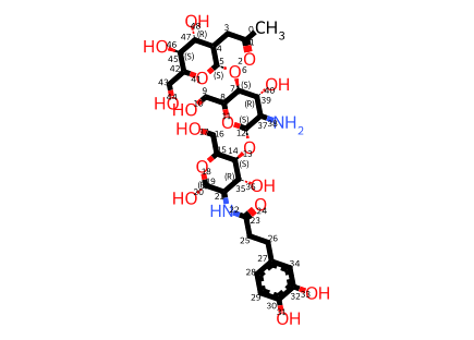 CC(=O)CC1[C@H](O[C@@H]2C(CO)O[C@@H](O[C@@H]3C(CO)O[C@@H](O)C(NC(=O)CCc4ccc(O)c(O)c4)[C@H]3O)C(N)[C@H]2O)OC(CO)[C@@H](O)[C@@H]1O